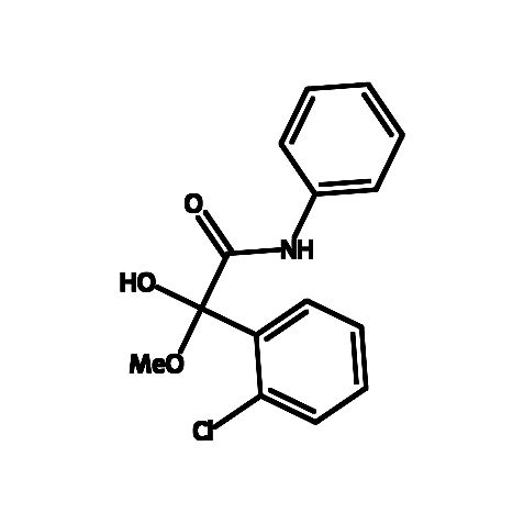 COC(O)(C(=O)Nc1ccccc1)c1ccccc1Cl